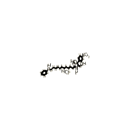 Cl.O=C(CCCCCCCCCCCPc1ccccc1)NC(CO)C(O)c1ccc([N+](=O)[O-])cc1